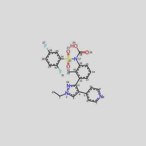 CCn1cc(-c2ccncc2)c(-c2cccc(N(C(=O)O)S(=O)(=O)c3cc(F)ccc3F)c2C)n1